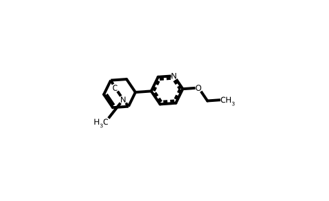 CCOc1ccc(C2CC3C=CC2N(C)C3)cn1